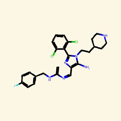 C=C(/N=C\c1nc(-c2c(Cl)cccc2Cl)n(CCC2CCNCC2)c1N)NCc1ccc(F)cc1